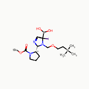 CC(C)(C)OC(=O)N1CCC[C@H]1C1N=CC(I)(B(O)O)N1COCC[Si](C)(C)C